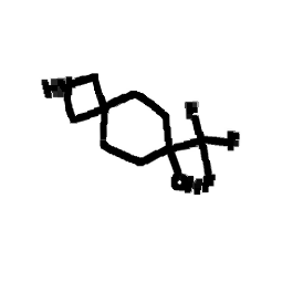 OC1(C(F)(F)F)CCC2(CC1)CNC2